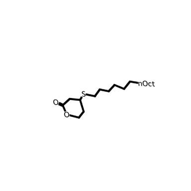 CCCCCCCCCCCCCCSC1CCOC(=O)C1